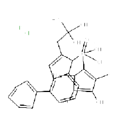 CC1=C(C)C(C)[C]([Zr]([CH3])([CH3])(=[SiH2])[CH]2C(CC(C)(C)C)=Cc3c(-c4ccccc4)cccc32)=C1C.Cl.Cl